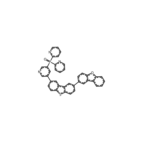 O=P(c1cncc(-c2ccc3sc4ccc(-c5ccc6oc7ccccc7c6c5)cc4c3c2)c1)(c1ccccn1)c1ccccn1